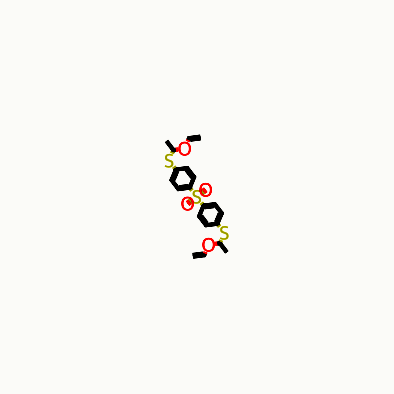 C=COC(C)Sc1ccc(S(=O)(=O)c2ccc(SC(C)OC=C)cc2)cc1